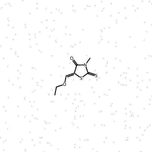 CCOC=C1SC(=S)N(C)C1=O